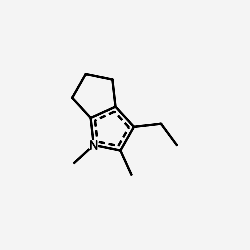 CCc1c2c(n(C)c1C)CCC2